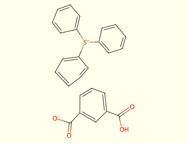 O=C([O-])c1cccc(C(=O)O)c1.c1ccc([S+](c2ccccc2)c2ccccc2)cc1